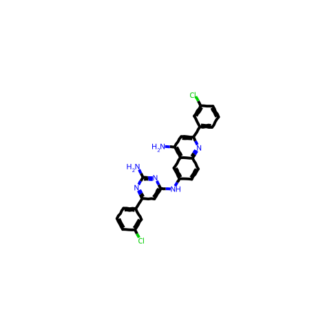 Nc1nc(Nc2ccc3nc(-c4cccc(Cl)c4)cc(N)c3c2)cc(-c2cccc(Cl)c2)n1